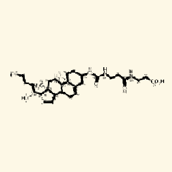 CC(C)CCC[C@@H](C)[C@H]1CCC2C3CC=C4CC(OC(=O)NCCC(=O)NCCC(=O)O)CC[C@]4(C)C3CC[C@@]21C